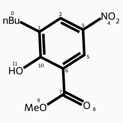 CCCCc1cc([N+](=O)[O-])cc(C(=O)OC)c1O